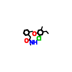 CCc1cc(Cl)c(OCc2ccccc2CC(=O)NC)cc1C